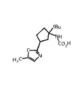 Cc1cnc(C2CCC(NC(=O)O)(C(C)(C)C)C2)o1